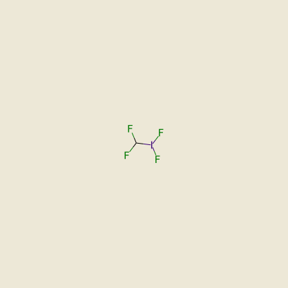 FC(F)I(F)F